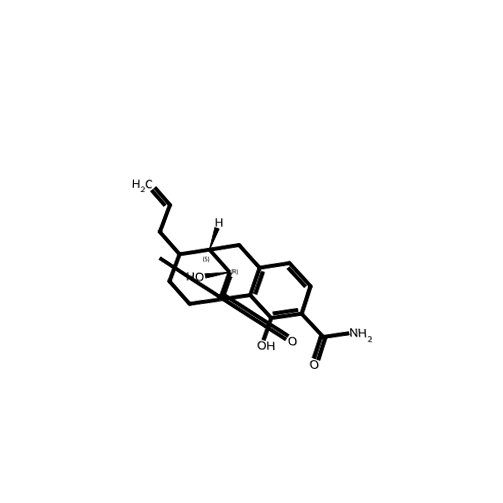 C=CCC1CCC23CC(=O)CC[C@@]2(O)[C@H]1Cc1ccc(C(N)=O)c(O)c13